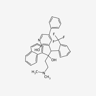 CN(C)CCC(O)(C1=C=C=Cc2ccccc21)C(c1ccccc1C(F)(F)F)c1cc(-c2ccccc2)cnc1O